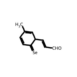 CC1=CC(C=CC=O)C(=[Se])C=C1